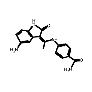 C/C(Nc1ccc(C(N)=O)cc1)=C1/C(=O)Nc2ccc(N)cc21